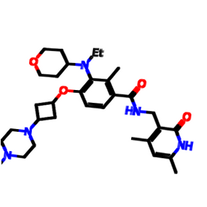 CCN(c1c(OC2CC(N3CCN(C(C)=O)CC3)C2)ccc(C(=O)NCc2c(C)cc(C)[nH]c2=O)c1C)C1CCOCC1